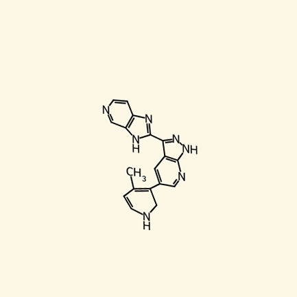 CC1=C(c2cnc3[nH]nc(-c4nc5ccncc5[nH]4)c3c2)CNC=C1